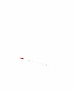 O.O.O.O.O.O.O.O.O.O.O.O.O.O.O.O.O=C(O)O